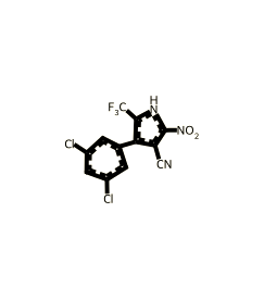 N#Cc1c([N+](=O)[O-])[nH]c(C(F)(F)F)c1-c1cc(Cl)cc(Cl)c1